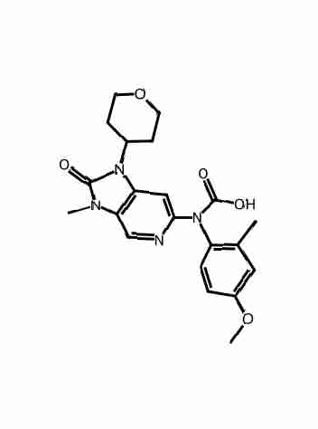 COc1ccc(N(C(=O)O)c2cc3c(cn2)n(C)c(=O)n3C2CCOCC2)c(C)c1